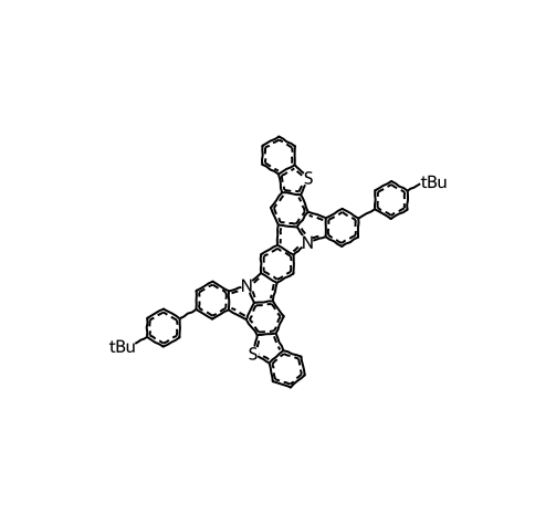 CC(C)(C)c1ccc(-c2ccc3c(c2)c2c4sc5ccccc5c4cc4c5cc6c(cc5n3c42)c2cc3c4ccccc4sc3c3c4cc(-c5ccc(C(C)(C)C)cc5)ccc4n6c23)cc1